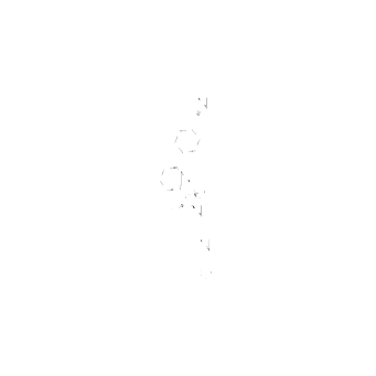 N#Cc1ccc(-c2cccc(S(=O)(=O)N3CCC(N4CCOCC4)C3)n2)cc1